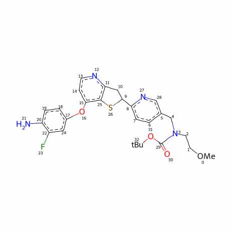 COCCN(Cc1ccc(C2Cc3nccc(Oc4ccc(N)c(F)c4)c3S2)nc1)C(=O)OC(C)(C)C